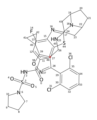 O=C(NS(=O)(=O)N1CCCC1)c1cc(F)c2nc(N3C4CCC3CC(NCc3c(-c5c(Cl)cccc5Cl)noc3C3CC3)C4)sc2c1